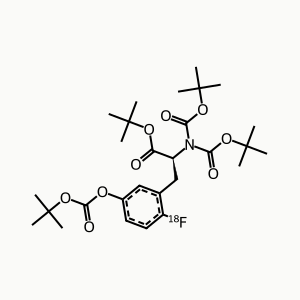 CC(C)(C)OC(=O)Oc1ccc([18F])c(C[C@@H](C(=O)OC(C)(C)C)N(C(=O)OC(C)(C)C)C(=O)OC(C)(C)C)c1